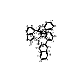 CC[SiH](C1=C(C)[CH]c2cccc(-c3ccc4ccccc4c3)c21)C1=C(C)[CH]c2cccc(-c3ccc4ccccc4c3)c21